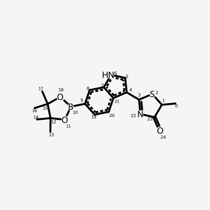 CC1SC(c2c[nH]c3cc(B4OC(C)(C)C(C)(C)O4)ccc23)=NC1=O